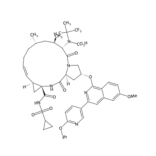 COc1ccc2c(O[C@@H]3C[C@H]4C(=O)N[C@]5(C(=O)NS(=O)(=O)C6CC6)C[C@H]5C=CCC[C@H](C)C[C@@H](C)[C@H](N(C(=O)O)C(C)(C)C(F)(F)F)C(=O)N4C3)nc(-c3ccc(OC(C)C)nc3)cc2c1